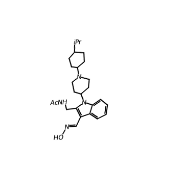 CC(=O)NCc1c(/C=N/O)c2ccccc2n1C1CCN(C2CCC(C(C)C)CC2)CC1